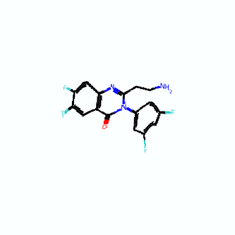 NCCc1nc2cc(F)c(F)cc2c(=O)n1-c1cc(F)cc(F)c1